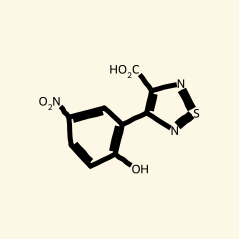 O=C(O)C1=C(c2cc([N+](=O)[O-])ccc2O)N=S=N1